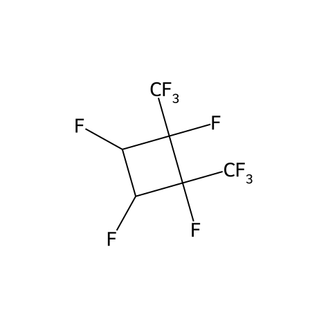 FC1C(F)C(F)(C(F)(F)F)C1(F)C(F)(F)F